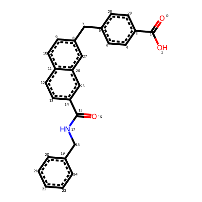 O=C(O)c1ccc(Cc2ccc3ccc(C(=O)NCc4ccccc4)cc3c2)cc1